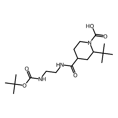 CC(C)(C)OC(=O)NCCNC(=O)C1CCN(C(=O)O)C(C(C)(C)C)C1